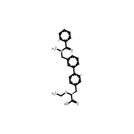 CCO[C@@H](Cc1ccc(-c2cccc(CN(C)C(=O)c3ccccc3)c2)cc1)C(=O)O